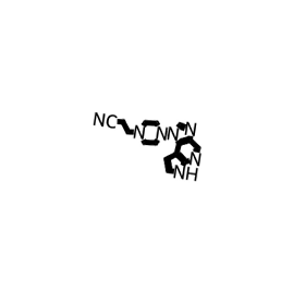 N#CCCN1CCN(n2cnc3cnc4[nH]ccc4c32)CC1